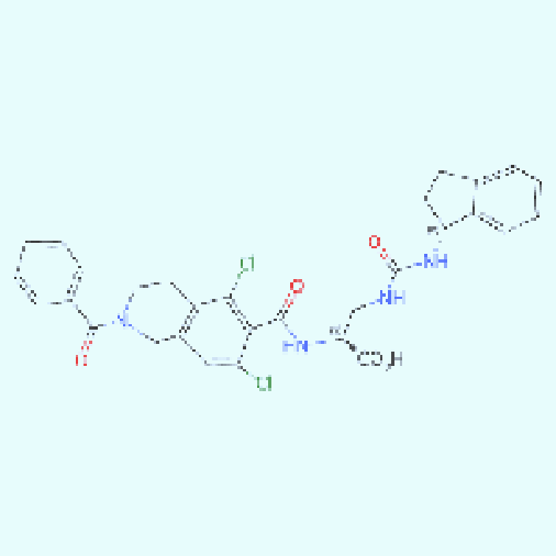 O=C(NC[C@H](NC(=O)c1c(Cl)cc2c(c1Cl)CCN(C(=O)c1ccccc1)C2)C(=O)O)N[C@@H]1CCc2ccccc21